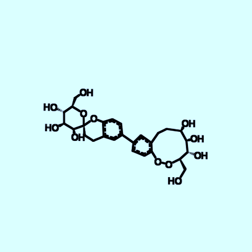 OC[C@H]1OOc2ccc(-c3ccc4c(c3)CC[C@]3(O4)O[C@H](CO)[C@@H](O)[C@H](O)[C@@H]3O)cc2CC[C@@H](O)[C@@H](O)[C@@H]1O